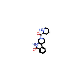 O=C([C@H]1CCCCN1)N1CCc2c([nH]c(=O)c3ccccc23)C1